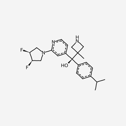 CC(C)c1ccc([C@](O)(c2ccnc(N3C[C@@H](F)[C@@H](F)C3)c2)C2(C)CNC2)cc1